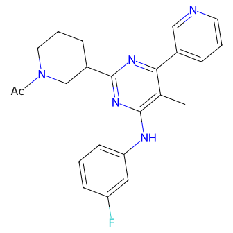 CC(=O)N1CCCC(c2nc(Nc3cccc(F)c3)c(C)c(-c3cccnc3)n2)C1